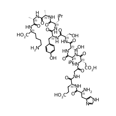 CC(C)C[C@H](NC(=O)[C@H](Cc1ccc(O)cc1)NC(=O)[C@H](CO)NC(=O)[C@H](CO)NC(=O)[C@@H](NC(=O)[C@H](CC(=O)O)NC(=O)CNC(=O)[C@H](CCC(=O)O)NC(=O)[C@@H](N)Cc1c[nH]cn1)C(C)C)C(=O)N[C@@H](C)C(=O)N[C@@H](C)C(=O)N[C@@H](CCCCN)C(=O)O